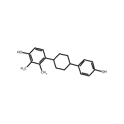 Cc1c(O)ccc(C2CCC(c3ccc(O)cc3)CC2)c1C